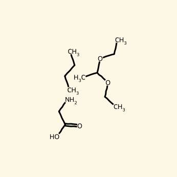 CCCC.CCOC(C)OCC.NCC(=O)O